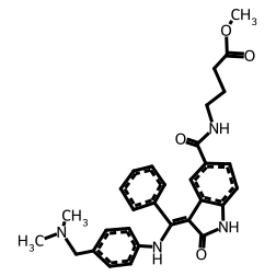 COC(=O)CCCNC(=O)c1ccc2c(c1)/C(=C(/Nc1ccc(CN(C)C)cc1)c1ccccc1)C(=O)N2